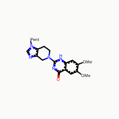 CCCC(C)n1cnc2c1CCN(c1nc(=O)c3cc(OC)c(OC)cc3[nH]1)C2